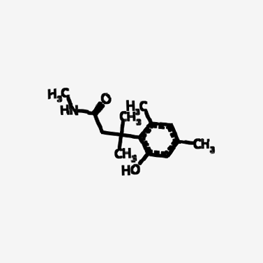 CNC(=O)CC(C)(C)c1c(C)cc(C)cc1O